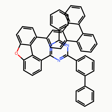 c1ccc(-c2cccc(-c3nc(-c4ccccc4)nc(-c4cccc5oc6cccc(-c7ccc8c9ccccc9c9ccccc9c8c7)c6c45)n3)c2)cc1